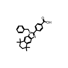 CC1(C)CCC(C)(C)c2cc3c(cc21)nc(-c1ccc(C(=O)O)cc1)n3Cc1ccccc1